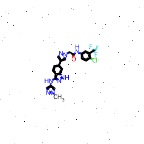 Cn1cc(Nc2n[nH]c3cc(-c4cnn(CC(=O)Nc5ccc(Cl)c(C(F)(F)F)c5)c4)ccc23)cn1